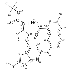 CCc1cc2c(N3CCC(NC(=O)OC(C)(C)C)C3)nc(Sc3ccc4nc(C)cc(C(=O)O)c4c3)nc2[nH]1